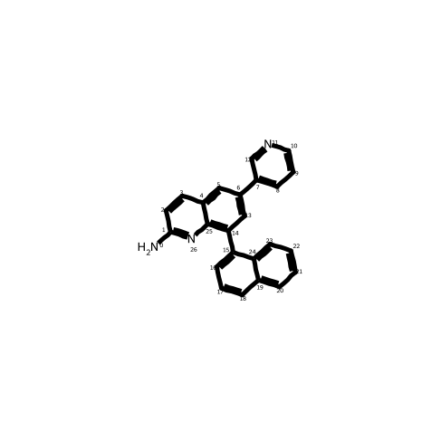 Nc1ccc2cc(-c3cccnc3)cc(-c3cccc4ccccc34)c2n1